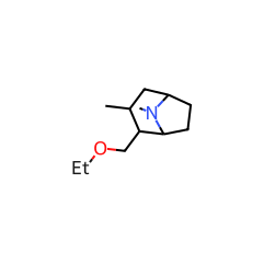 CCOCC1C(C)CC2CCC1N2C